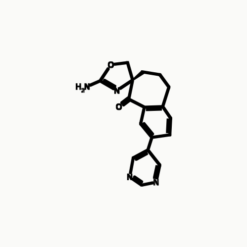 NC1=N[C@]2(CCCc3ccc(-c4cncnc4)cc3C2=O)CO1